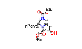 CCCCC[C@H]1CN(C(=O)OC(C)(C)C)C[C@@H](CCO)N1[C@@H]1OC1OC(C)(C)C